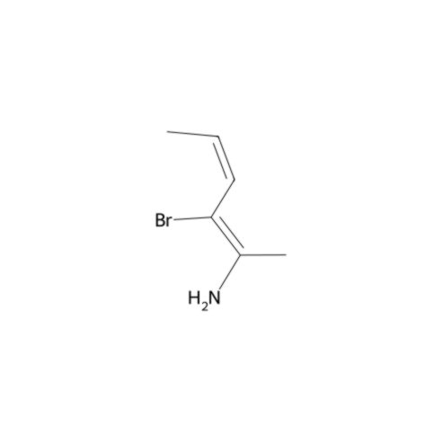 C/C=C\C(Br)=C(/C)N